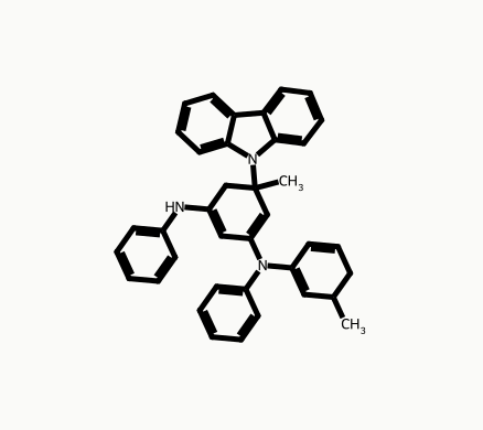 CC1C=C(N(C2=CC(C)(n3c4ccccc4c4ccccc43)CC(Nc3ccccc3)=C2)c2ccccc2)C=CC1